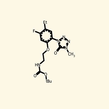 CCc1cc(-n2nnn(C)c2=O)c(OCCNC(=O)OC(C)(C)C)cc1F